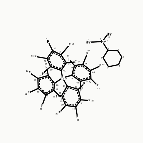 CC(C)[NH+](C(C)C)C1CCCCC1.Fc1c(F)c(F)c([B-](c2c(F)c(F)c(F)c(F)c2F)(c2c(F)c(F)c(F)c(F)c2F)c2c(F)c(F)c(F)c(F)c2F)c(F)c1F